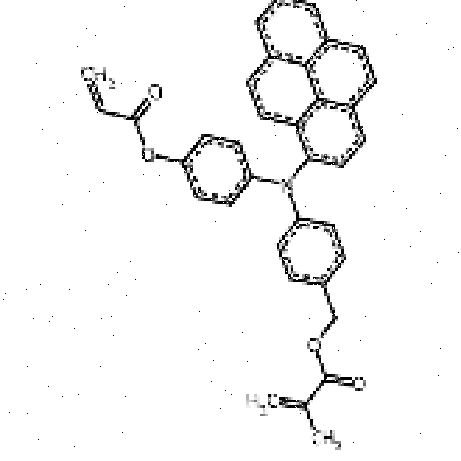 C=CC(=O)Oc1ccc(N(c2ccc(COC(=O)C(=C)C)cc2)c2ccc3ccc4cccc5ccc2c3c45)cc1